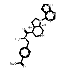 COC(=O)c1ccc(CN(C)C(=O)C2CNC[C@H]3[C@@H]2CCN3c2ncnc3[nH]ccc23)cc1